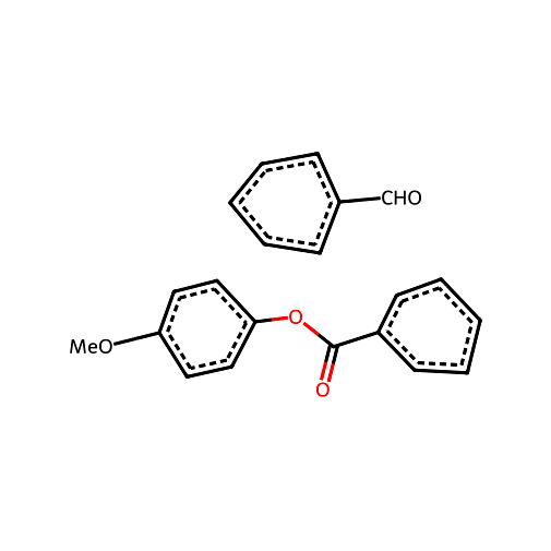 COc1ccc(OC(=O)c2ccccc2)cc1.O=Cc1ccccc1